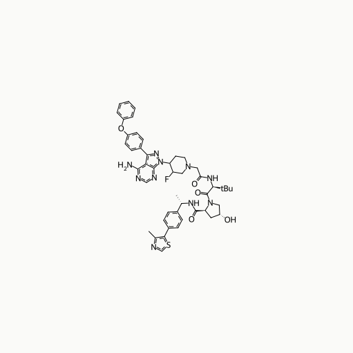 Cc1ncsc1-c1ccc([C@H](C)NC(=O)[C@@H]2C[C@@H](O)CN2C(=O)[C@@H](NC(=O)CN2CCC(n3nc(-c4ccc(Oc5ccccc5)cc4)c4c(N)ncnc43)C(F)C2)C(C)(C)C)cc1